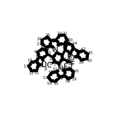 Cc1c(-c2cccc3c2oc2ccccc23)c(-n2c3ccccc3c3ccccc32)c(-c2cccc3c2oc2ccccc23)c(C(F)(F)F)c1-n1c2ccccc2c2ccccc21